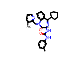 CC(=O)c1cccnc1CN1C(=O)[C@H](NC(=O)Nc2cccc(C)c2)N=C(C2CCCCC2)c2ccccc21